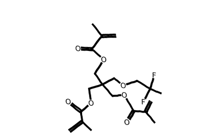 C=C(C)C(=O)OCC(COCC(C)(F)F)(COC(=O)C(=C)C)COC(=O)C(=C)C